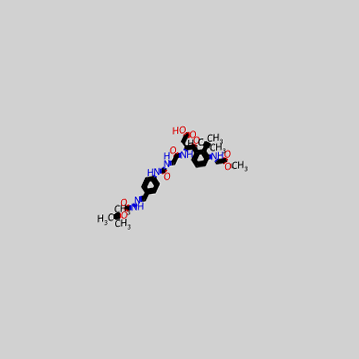 COC(=O)CNc1cccc(C(=O)[C@H](CC(=O)O)NC(=O)CNC(=O)Nc2ccc(C=NNC(=O)OC(C)(C)C)cc2)c1C(C)(C)C